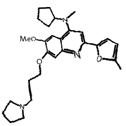 COc1cc2c(N(C)C3CCCC3)cc(-c3ccc(C)o3)nc2cc1OCCCN1CCCC1